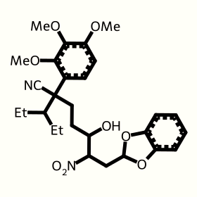 CCC(CC)C(C#N)(CCC(O)C(CC1Oc2ccccc2O1)[N+](=O)[O-])c1ccc(OC)c(OC)c1OC